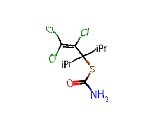 CC(C)C(SC(N)=O)(C(Cl)=C(Cl)Cl)C(C)C